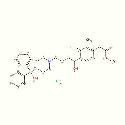 Cc1c(CC(=O)OC(C)C)ccc(C(O)CCCN2CCC(C(O)(c3ccccc3)c3ccccc3)CC2)c1C.Cl